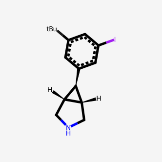 CC(C)(C)c1cc(I)cc([C@H]2[C@@H]3CNC[C@@H]32)c1